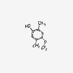 Cc1cc(OC(F)(F)F)c(C)cc1O